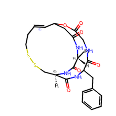 CC(C)[C@H]1NC(=O)CC2/C=C/CCSSC[C@@H](NC1=O)C(=O)NC(Cc1ccccc1)C(=O)NCC(=O)O2